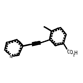 Cc1ccc(C(=O)O)cc1C#Cc1cccnc1